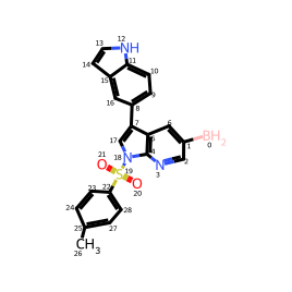 Bc1cnc2c(c1)c(-c1ccc3[nH]ccc3c1)cn2S(=O)(=O)c1ccc(C)cc1